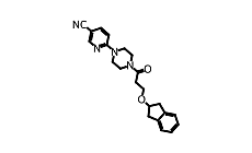 N#Cc1ccc(N2CCN(C(=O)CCOC3Cc4ccccc4C3)CC2)nc1